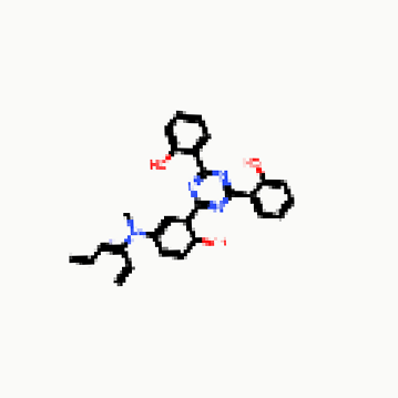 C=C/C=C(\C=C)N(C)C1=CC(c2nc(-c3ccccc3O)nc(-c3ccccc3O)n2)C(O)C=C1